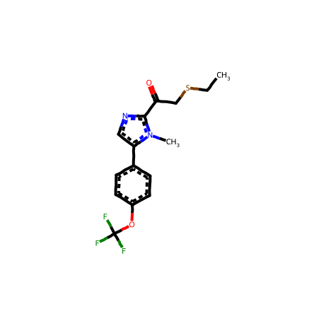 CCSCC(=O)c1ncc(-c2ccc(OC(F)(F)F)cc2)n1C